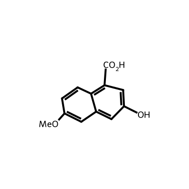 COc1ccc2c(C(=O)O)cc(O)cc2c1